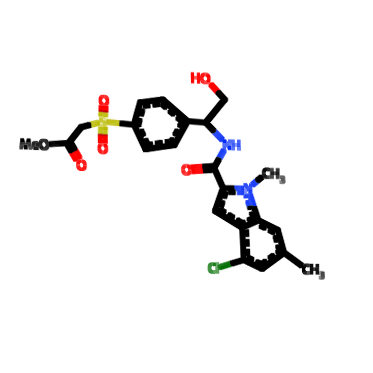 COC(=O)CS(=O)(=O)c1ccc(C(CO)NC(=O)c2cc3c(Cl)cc(C)cc3n2C)cc1